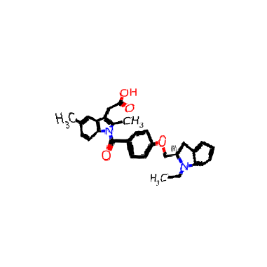 CCN1c2ccccc2C[C@@H]1COc1ccc(C(=O)n2c(C)c(CC(=O)O)c3cc(C)ccc32)cc1